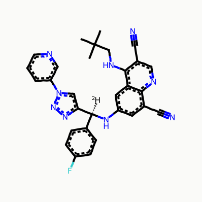 [2H][C@](Nc1cc(C#N)c2ncc(C#N)c(NCC(C)(C)C)c2c1)(c1ccc(F)cc1)c1cn(-c2cccnc2)nn1